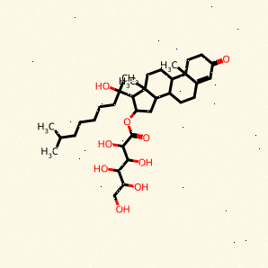 CC(C)CCCCCC(C)(O)C1C(OC(=O)C(O)C(O)C(O)C(O)CO)CC2C3CCC4=CC(=O)CCC4(C)C3CCC21C